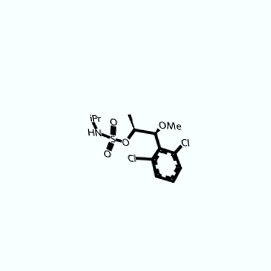 CO[C@@H](c1c(Cl)cccc1Cl)[C@H](C)OS(=O)(=O)NC(C)C